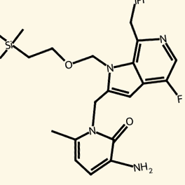 Cc1ccc(N)c(=O)n1Cc1cc2c(F)cnc(CC(C)C)c2n1COCC[Si](C)(C)C